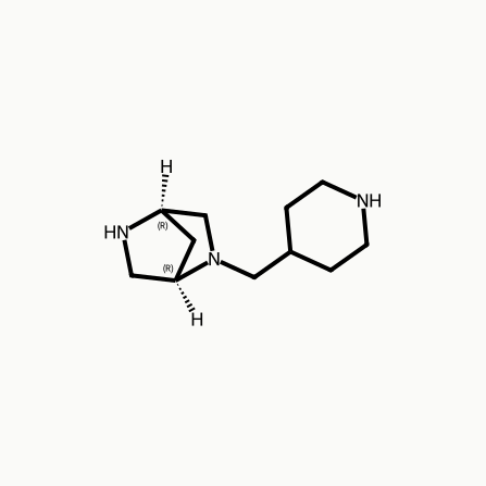 C1CC(CN2C[C@H]3C[C@@H]2CN3)CCN1